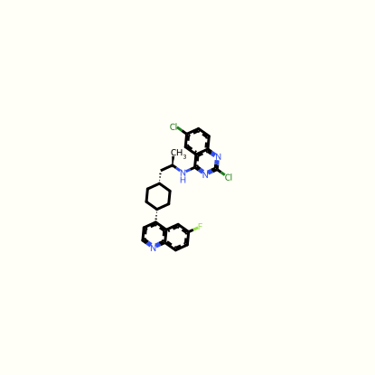 C[C@H](C[C@H]1CC[C@@H](c2ccnc3ccc(F)cc32)CC1)Nc1nc(Cl)nc2ccc(Cl)cc12